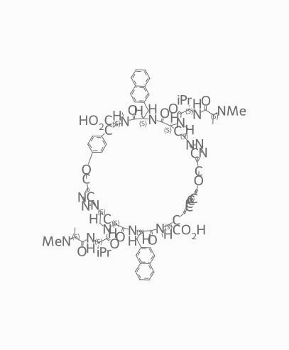 CN[C@@H](C)C(=O)N[C@H](C(=O)N1C[C@@H]2C[C@H]1C(=O)N[C@@H](Cc1ccc3ccccc3c1)C(=O)N(C)[C@H](C(=O)O)Cc1ccc(cc1)OCc1cn(nn1)[C@H]1C[C@@H](C(=O)N[C@@H](Cc3ccc4ccccc4c3)C(=O)N(C)[C@H](C(=O)O)Cc3ccc(cc3)OCc3cn2nn3)N(C(=O)[C@@H](NC(=O)[C@H](C)NC)C(C)C)C1)C(C)C